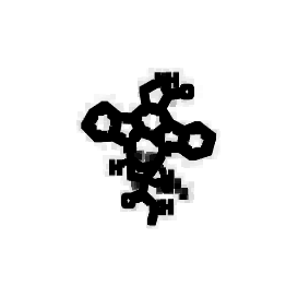 CNC(=O)[C@]1(N)C[C@@H]2C[C@H]1n1c3ccccc3c3c4c(c5c6ccccc6n2c5c31)CNC4=O